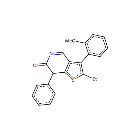 CCc1sc2c(c1-c1ccccc1OC)C=NC(=O)C2c1ccccc1